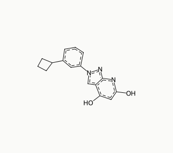 Oc1cc(O)c2cn(-c3cccc(C4CCC4)c3)nc2n1